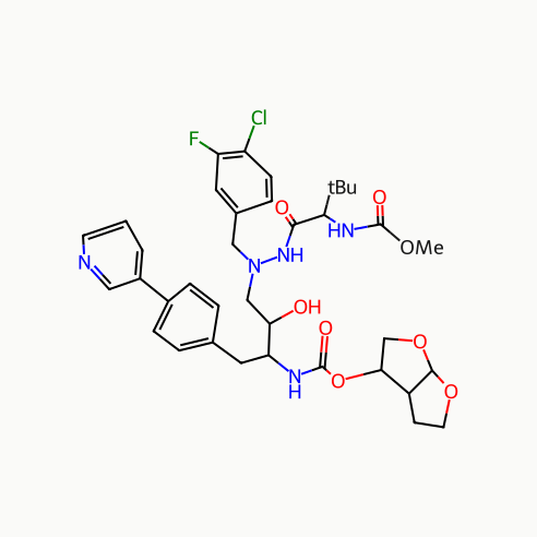 COC(=O)NC(C(=O)NN(Cc1ccc(Cl)c(F)c1)CC(O)C(Cc1ccc(-c2cccnc2)cc1)NC(=O)OC1COC2OCCC12)C(C)(C)C